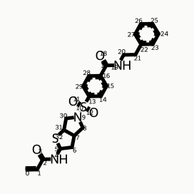 C=CC(=O)NC1CC2CN(S(=O)(=O)c3ccc(C(=O)NCCc4ccccc4)cc3)CC2S1